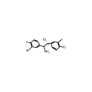 CC[C@H](c1ccc(Cl)c(C)c1)C(N)c1ccc(F)c(Br)c1